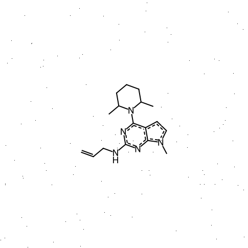 C=CCNc1nc(N2C(C)CCCC2C)c2ccn(C)c2n1